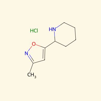 Cc1cc(C2CCCCN2)on1.Cl